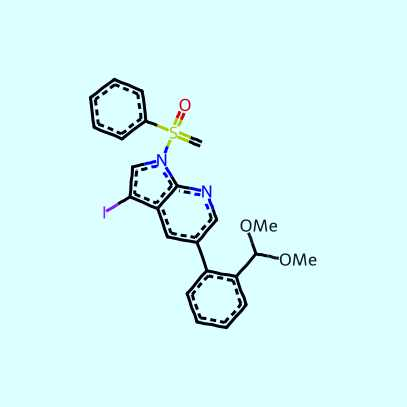 C=S(=O)(c1ccccc1)n1cc(I)c2cc(-c3ccccc3C(OC)OC)cnc21